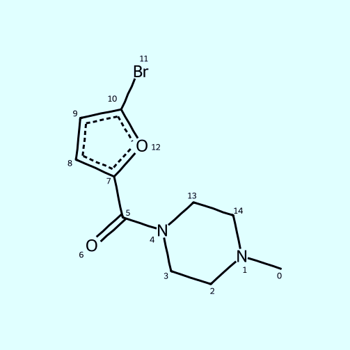 CN1CCN(C(=O)c2ccc(Br)o2)CC1